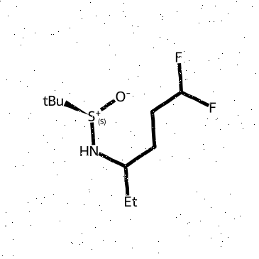 CCC(CCC(F)F)N[S@+]([O-])C(C)(C)C